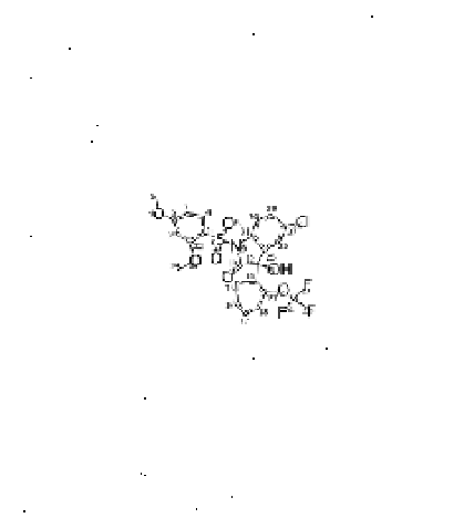 COc1ccc(S(=O)(=O)N2C(=O)C(O)(c3ccccc3OC(F)(F)F)c3cc(Cl)ccc32)c(OC)c1